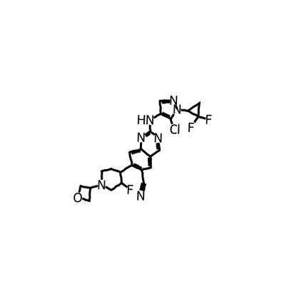 N#Cc1cc2cnc(Nc3cnn(C4CC4(F)F)c3Cl)nc2cc1C1CCN(C2COC2)CC1F